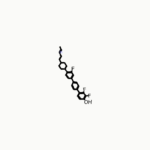 C/C=C/CCC1CCC(c2ccc(-c3ccc(-c4ccc(O)c(F)c4F)cc3)cc2F)CC1